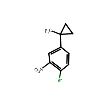 O=[N+]([O-])c1cc(C2(C(F)(F)F)CC2)ccc1Br